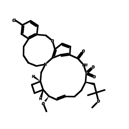 CO[C@H]1/C=C/CC[C@H](CC(C)(C)OC)S(=O)(=O)NC(=O)c2ccc3c(c2)N(CCCCc2cc(Cl)ccc2CO3)C[C@@H]2CC[C@H]21